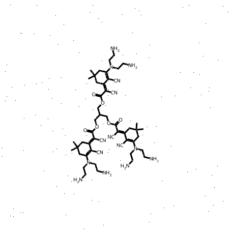 CC1(C)CC(N(CCN)CCN)=C(C#N)/C(=C(\C#N)C(=O)OCC(COC(=O)/C(C#N)=C2\CC(C)(C)CC(N(CCN)CCN)=C2C#N)COC(=O)/C(C#N)=C2\CC(C)(C)CC(N(CCN)CCN)=C2C#N)C1